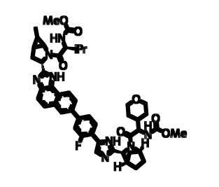 COC(=O)NC(C(=O)N1[C@@H]2CC[C@@H](C2)[C@H]1c1ncc(-c2ccc(-c3ccc4c(ccc5nc([C@@H]6CC7C(C)C7N6C(=O)[C@@H](NC(=O)OC)C(C)C)[nH]c54)c3)cc2F)[nH]1)C1CCOCC1